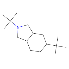 CC(C)(C)C1CCC2CN(C(C)(C)C)CC2C1